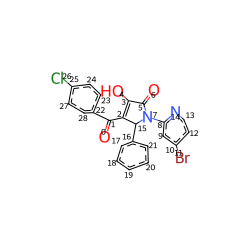 O=C(C1=C(O)C(=O)N(c2cc(Br)ccn2)C1c1ccccc1)c1ccc(Cl)cc1